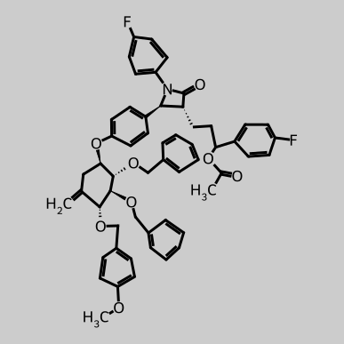 C=C1C[C@@H](Oc2ccc([C@@H]3[C@@H](CCC(OC(C)=O)c4ccc(F)cc4)C(=O)N3c3ccc(F)cc3)cc2)[C@H](OCc2ccccc2)[C@@H](OCc2ccccc2)[C@@H]1OCc1ccc(OC)cc1